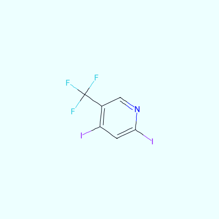 FC(F)(F)c1cnc(I)cc1I